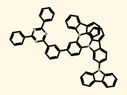 c1ccc(-c2nc(-c3ccccc3)nc(-c3cccc(-c4ccc(-n5c6ccccc6c6ccc(-n7c8ccccc8c8ccccc87)cc65)c(-n5c6ccccc6c6ccccc65)c4)c3)n2)cc1